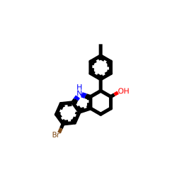 Cc1ccc(C2c3[nH]c4ccc(Br)cc4c3CCC2O)cc1